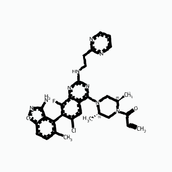 C=CC(=O)N1C[C@H](C)N(c2nc(NCCc3ncccn3)nc3c(F)c(-c4c(C)ccc5onc(N)c45)c(Cl)cc23)C[C@H]1C